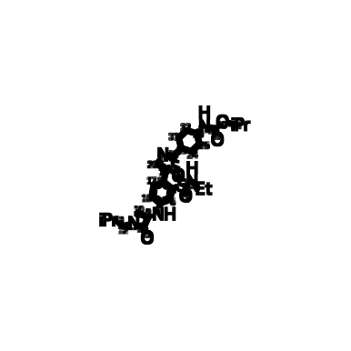 CCNS(=O)(=O)c1cc(N[C@@H]2CN(CC(C)C)C2=O)ccc1-c1cnc(C2CCC(NC(=O)OC(C)C)CC2)s1